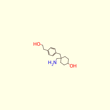 NCC1(Cc2ccc(CCO)cc2)CCC(O)CC1